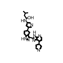 CC(C)CC(O)Nc1cncc(-c2ccc3[nH]nc(-c4nc5c(-c6ccncc6)ccnc5[nH]4)c3c2)c1